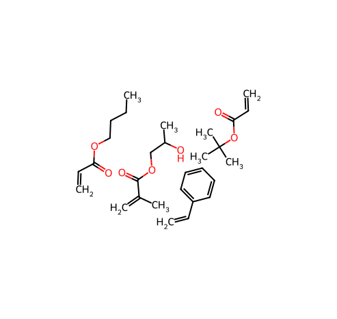 C=C(C)C(=O)OCC(C)O.C=CC(=O)OC(C)(C)C.C=CC(=O)OCCCC.C=Cc1ccccc1